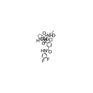 CO[C@H](C)CNC(=O)C[C@@]1(O)C2CC[C@H]1C[C@H](S(=O)(=O)c1cc(C(=O)Nc3ccc(F)c(F)c3)ccc1Cl)C2